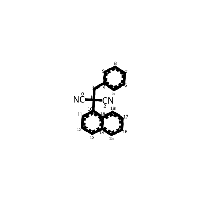 N#CC(C#N)(Cc1ccccc1)c1cccc2ccccc12